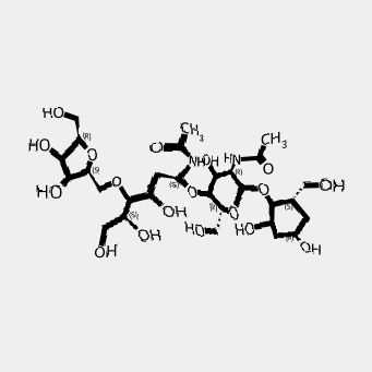 CC(=O)N[C@H]1C(OC2C(O)C[C@H](O)C[C@H]2CO)O[C@H](CO)C(O[C@@H](CC(O)C(OC[C@@H]2O[C@H](CO)C(O)C2O)[C@@H](O)CO)NC(C)=O)C1O